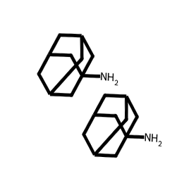 NC12CC3CC(CC(C3)C1)C2.NC12CC3CC(CC(C3)C1)C2